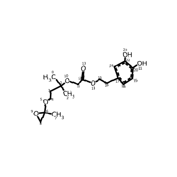 CC(C)(CCOC1(C)CO1)OCC(=O)OCCc1ccc(O)c(O)c1